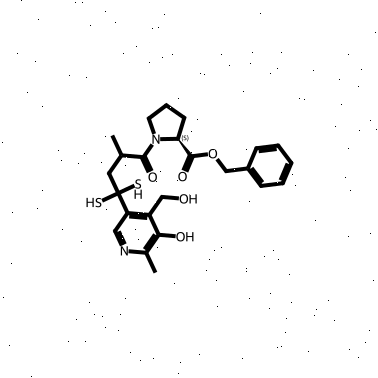 Cc1ncc(C(S)(S)CC(C)C(=O)N2CCC[C@H]2C(=O)OCc2ccccc2)c(CO)c1O